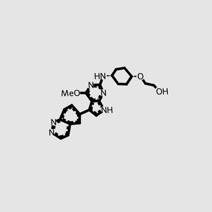 COc1nc(N[C@H]2CC[C@@H](OCCO)CC2)nc2[nH]cc(-c3ccc4nnccc4c3)c12